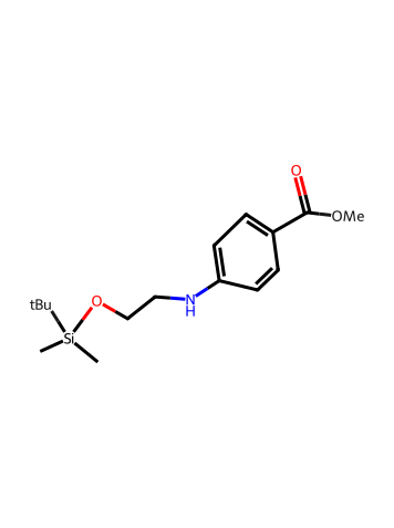 COC(=O)c1ccc(NCCO[Si](C)(C)C(C)(C)C)cc1